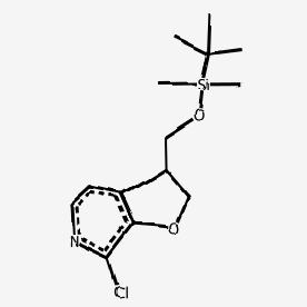 CC(C)(C)[Si](C)(C)OCC1COc2c1ccnc2Cl